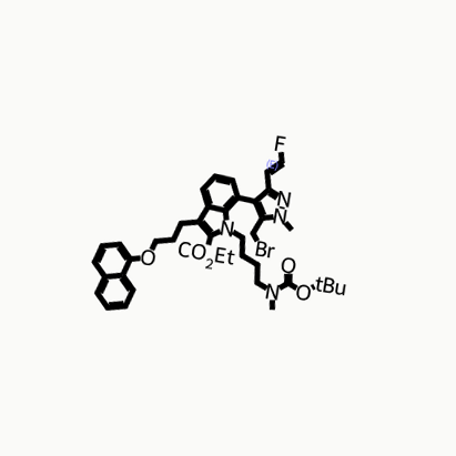 CCOC(=O)c1c(CCCOc2cccc3ccccc23)c2cccc(-c3c(/C=C/F)nn(C)c3CBr)c2n1CCCCN(C)C(=O)OC(C)(C)C